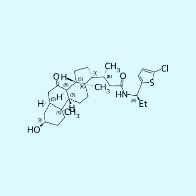 CC[C@@H](NC(=O)C[C@@H](C)[C@H]1CC[C@H]2[C@@H]3C(=O)C[C@@H]4C[C@H](O)CC[C@]4(C)[C@H]3CC[C@]12C)c1ccc(Cl)s1